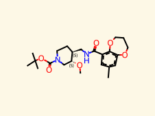 CO[C@@H]1CN(C(=O)OC(C)(C)C)CC[C@H]1CNC(=O)c1cc(C)cc2c1OCCCO2